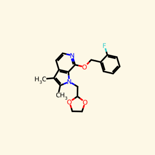 Cc1c(C)n(CC2OCCO2)c2c(OCc3ccccc3F)nccc12